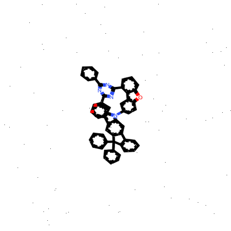 c1ccc(-c2nc(-c3ccccc3)nc(-c3cccc4oc5ccc(-n6c7ccccc7c7cc8c(cc76)-c6ccccc6C8(c6ccccc6)c6ccccc6)cc5c34)n2)cc1